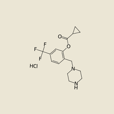 Cl.O=C(Oc1cc(C(F)(F)F)ccc1CN1CCNCC1)C1CC1